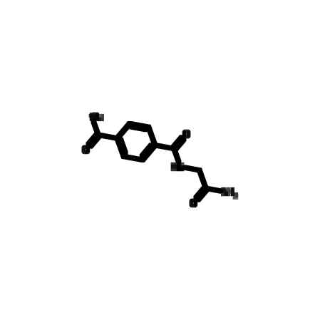 CC(C)(C)C(=O)c1ccc(C(=O)NCC(N)=O)cc1